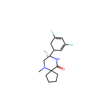 CN1C[C@@](C)(C2C=C(F)C=C(F)C2)NC(=O)C12CCCC2